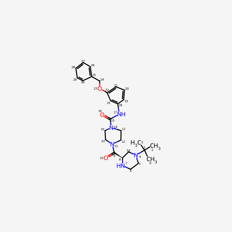 CC(C)(C)N1CCN[C@@H](C(=O)N2CCN(C(=O)Nc3cccc(OCc4ccccc4)c3)CC2)C1